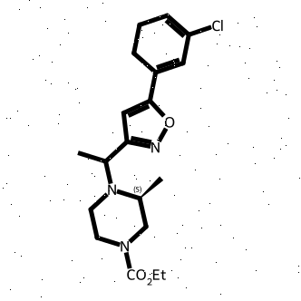 CCOC(=O)N1CCN(C(C)c2cc(C3=CC(Cl)=CCC3)on2)[C@@H](C)C1